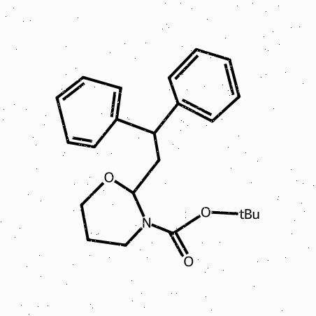 CC(C)(C)OC(=O)N1CCCOC1CC(c1ccccc1)c1ccccc1